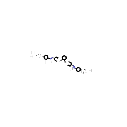 CCN(CC)c1ccc(/C=C/c2cc[n+](Cc3ccccc3C[n+]3ccc(/C=C/c4ccc(N(CC)CC)cc4)c(C)c3)cc2C)cc1